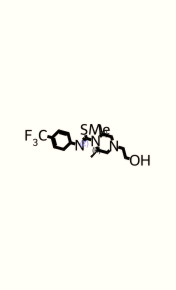 CS/C(=N\C1C=CC(C(F)(F)F)=CC1)N1[C@H](C)CN(CCO)C[C@@H]1C